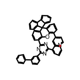 c1ccc(-c2cccc(-c3nc(-c4ccccc4)nc(-c4cccc5c4Oc4c(-c6ccncc6)cccc4C54c5ccccc5-c5ccccc54)n3)c2)cc1